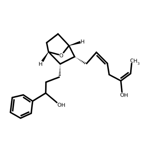 C/C=C(/O)C/C=C\C[C@@H]1[C@H](CCC(O)c2ccccc2)[C@@H]2CC[C@H]1O2